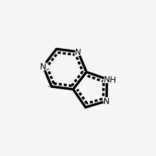 [c]1ncnc2[nH]ncc12